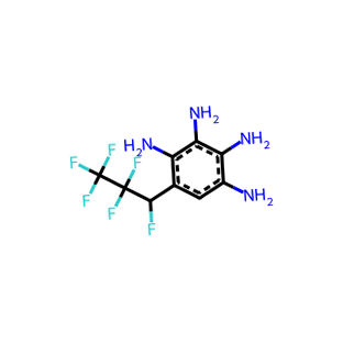 Nc1cc(C(F)C(F)(F)C(F)(F)F)c(N)c(N)c1N